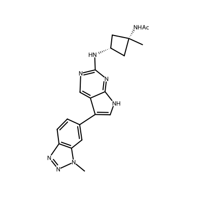 CC(=O)N[C@]1(C)C[C@H](Nc2ncc3c(-c4ccc5nnn(C)c5c4)c[nH]c3n2)C1